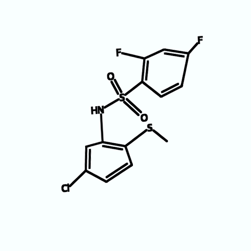 CSc1ccc(Cl)cc1NS(=O)(=O)c1ccc(F)cc1F